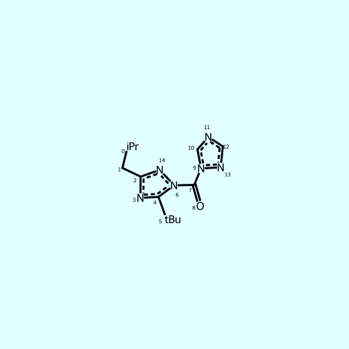 CC(C)Cc1nc(C(C)(C)C)n(C(=O)n2cncn2)n1